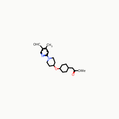 COC(=O)CC1CCC(OC2CCN(c3cc(C)c(C=O)cn3)CC2)CC1